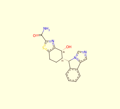 NC(=O)c1nc2c(s1)CC[C@@H](C1c3ccccc3-c3cncn31)[C@H]2O